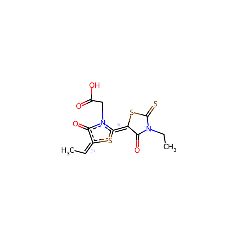 C/C=c1/s/c(=C2/SC(=S)N(CC)C2=O)n(CC(=O)O)c1=O